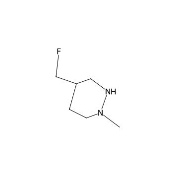 CN1CCC(CF)CN1